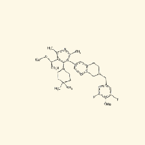 COc1c(F)cc(CN2CCc3cc(-c4c(C)nc(C)c(C(OC(C)(C)C)C(=O)O)c4N4CCC(C)(C)CC4)ccc3C2)cc1F